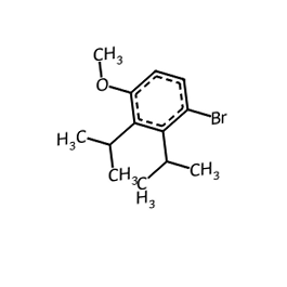 COc1ccc(Br)c(C(C)C)c1C(C)C